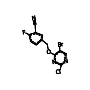 N#Cc1cc(COc2nc(Cl)ncc2Br)ccc1F